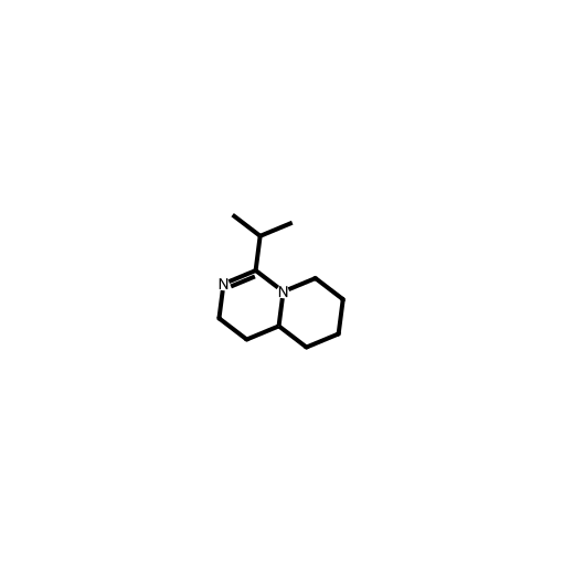 CC(C)C1=NCCC2CCCCN12